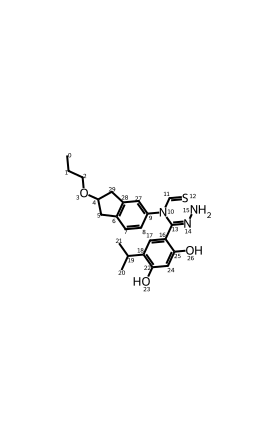 CCCOC1Cc2ccc(N(C=S)/C(=N\N)c3cc(C(C)C)c(O)cc3O)cc2C1